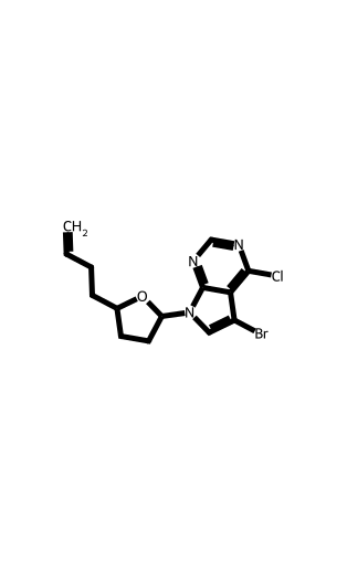 C=CCCC1CCC(n2cc(Br)c3c(Cl)ncnc32)O1